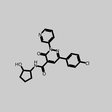 O=C(NC1CCCC1O)c1cc(-c2ccc(Cl)cc2)nn(-c2cccnc2)c1=O